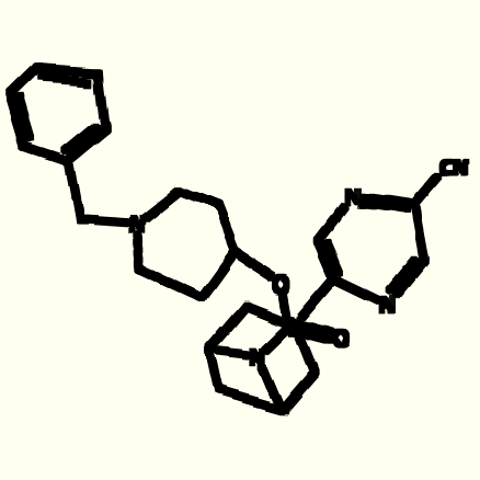 N#Cc1cnc(N2CC3CC(C2)N3C(=O)OC2CCN(Cc3ccccc3)CC2)cn1